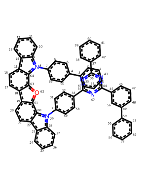 c1ccc(-c2ccc(-n3c4ccccc4c4ccc5c6ccc7c8ccccc8n(-c8ccc(-c9nc(-c%10ccccc%10)nc(-c%10cccc(-c%11ccccc%11)c%10)n9)cc8)c7c6oc5c43)cc2)cc1